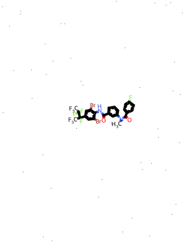 CN(C(=O)c1ccc(F)cc1)c1cccc(C(=O)Nc2c(Br)cc(C(F)(C(F)(F)F)C(F)(F)C(F)(F)F)cc2Br)c1